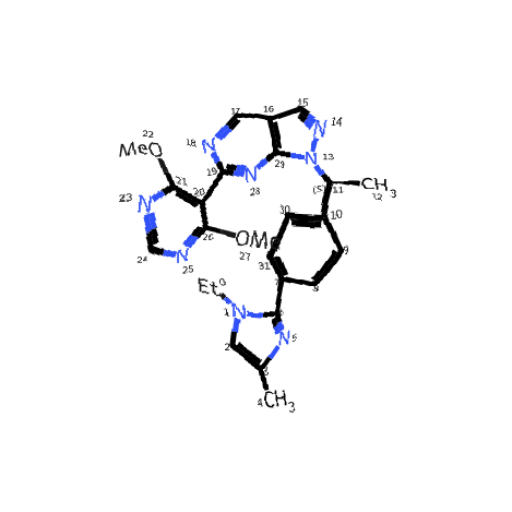 CCn1cc(C)nc1-c1ccc([C@H](C)n2ncc3cnc(-c4c(OC)ncnc4OC)nc32)cc1